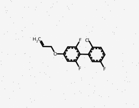 C=CCOc1cc(F)c(-c2[c]c(F)ccc2Cl)c(F)c1